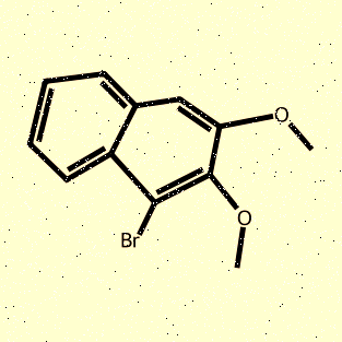 COc1cc2ccccc2c(Br)c1OC